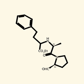 CCOC(=O)C(CCc1ccccc1)N[C@@H](C)C(=O)N1CCC[C@H]1[C]=O